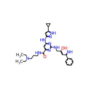 CCN(CC)CCCNC(=O)c1cc(Nc2cc(C3CC3)[nH]n2)nc(NC/C(O)=C/C(=N)c2ccccc2)n1